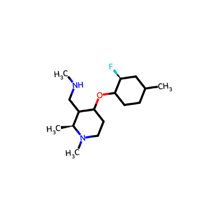 CNCC1C(OC2CCC(C)C[C@@H]2F)CCN(C)[C@H]1C